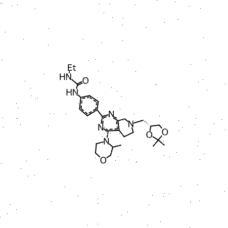 CCNC(=O)Nc1ccc(-c2nc3c(c(N4CCOCC4C)n2)CCN(C[C@@H]2COC(C)(C)O2)C3)cc1